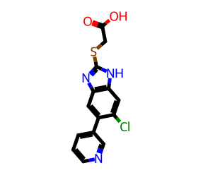 O=C(O)CSc1nc2cc(-c3cccnc3)c(Cl)cc2[nH]1